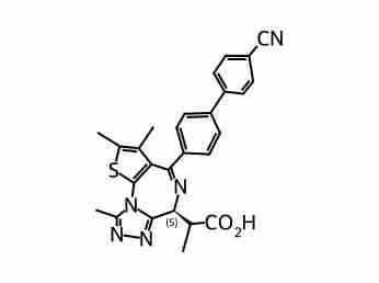 Cc1sc2c(c1C)C(c1ccc(-c3ccc(C#N)cc3)cc1)=N[C@@H](C(C)C(=O)O)c1nnc(C)n1-2